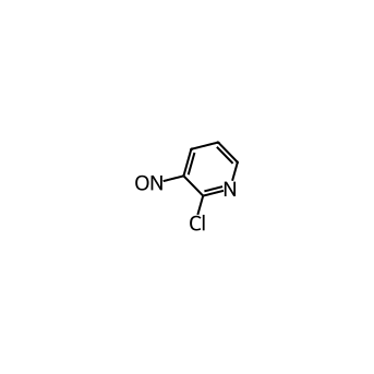 O=Nc1cccnc1Cl